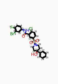 O=C(Nc1ccc(F)c(Br)c1)c1cc(S(=O)(=O)N2CCC(O)(c3ccccc3)CC2)ccc1Cl